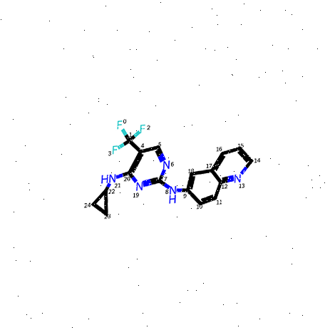 FC(F)(F)c1cnc(Nc2ccc3ncccc3c2)nc1NC1CC1